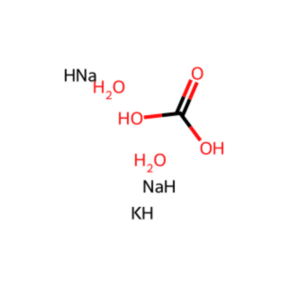 O.O.O=C(O)O.[KH].[NaH].[NaH]